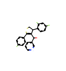 OC(C1=C(c2ccc(F)cc2)SCC1c1ccc(F)cc1F)c1cccnc1